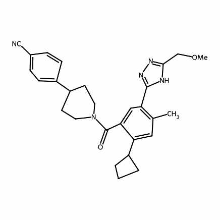 COCc1nnc(-c2cc(C(=O)N3CCC(c4ccc(C#N)cc4)CC3)c(C3CCC3)cc2C)[nH]1